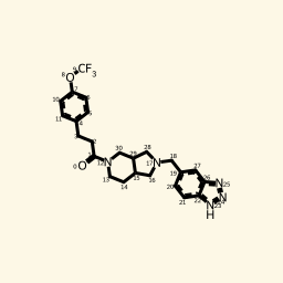 O=C(CCc1ccc(OC(F)(F)F)cc1)N1CCC2CN(Cc3ccc4[nH]nnc4c3)CC2C1